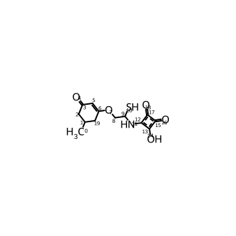 CC1CC(=O)C=C(OCC(S)Nc2c(O)c(=O)c2=O)C1